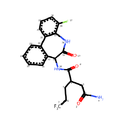 NC(=O)CC(CCC(F)(F)F)C(=O)NC1C(=O)Nc2c(F)cccc2-c2ccccc21